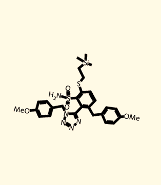 COc1ccc(Cc2ccc(SCC[Si](C)(C)C)c(S(N)(=O)=O)c2-c2nnnn2Cc2ccc(OC)cc2)cc1